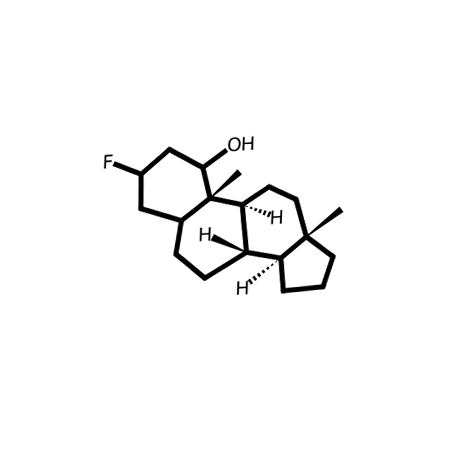 C[C@@]12CCC[C@H]1[C@@H]1CCC3CC(F)CC(O)[C@]3(C)[C@H]1CC2